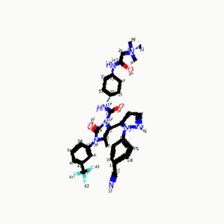 Cc1c(-c2ccnn2-c2ccc(C#N)cc2)n(C(=O)N[C@H]2CC[C@H](NC(=O)C[N+](C)(C)C)CC2)c(=O)n1-c1cccc(C(F)(F)F)c1